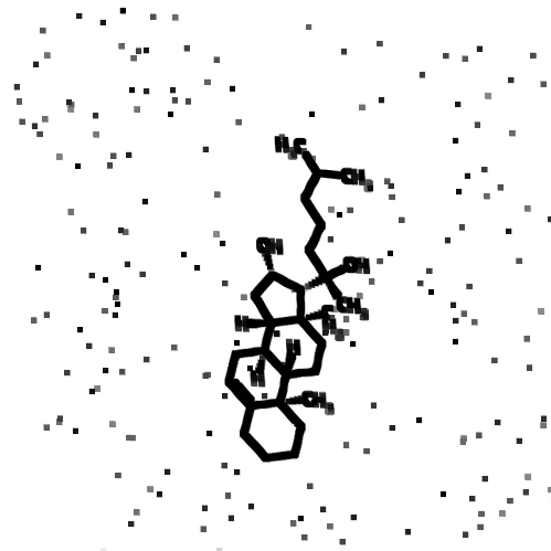 CC(C)CCC[C@](C)(O)[C@H]1[C@@H](O)C[C@H]2[C@@H]3CC=C4CCCC[C@]4(C)[C@H]3CC[C@@]21C